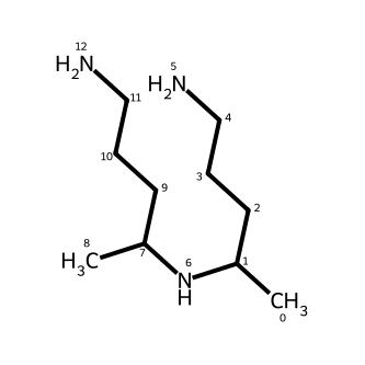 CC(CCCN)NC(C)CCCN